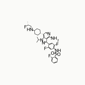 CC(C)n1nc(-c2cc(F)c(NS(=O)(=O)c3ccccc3F)cc2F)c2c(N)ncc([C@H]3CC[C@H](NC[C@@H](C)F)CC3)c21